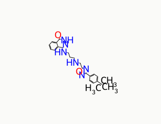 CC(C)(C)c1ccc(-c2noc(CNCCCNc3n[nH]c(=O)c4ccccc34)n2)cc1